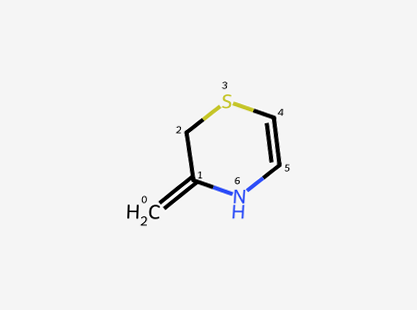 C=C1CSC=CN1